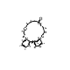 O=C1CCCCCCc2ccccc2-[n+]2cccc(c2)CCCC1